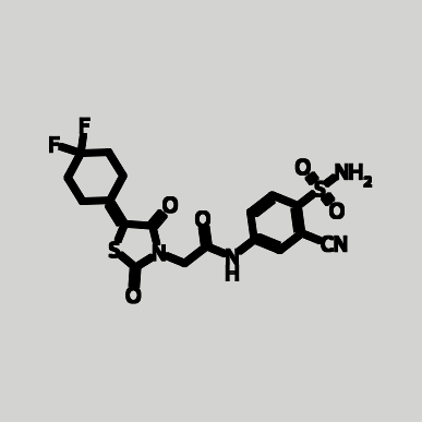 N#Cc1cc(NC(=O)CN2C(=O)SC(=C3CCC(F)(F)CC3)C2=O)ccc1S(N)(=O)=O